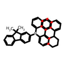 CC1(C)c2ccccc2-c2ccc(N(c3ccccc3-c3cccc4cccc(C5CCCCC5)c34)c3cccc4ccccc34)cc21